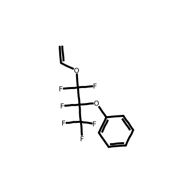 C=COC(F)(F)C(F)(Oc1ccccc1)C(F)(F)F